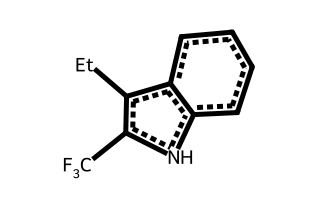 CCc1c(C(F)(F)F)[nH]c2ccccc12